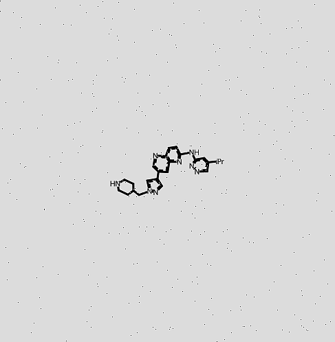 CC(C)c1cnnc(Nc2ccc3ncc(-c4cnn(CC5CCNCC5)c4)cc3n2)c1